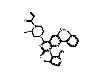 C=CC(=O)N1C[C@H](C)N(c2nc(=O)n(-c3c(C)ccnc3C(C)C)c3nc(-c4ccccc4C(C)=O)c(Cl)cc23)C[C@H]1C